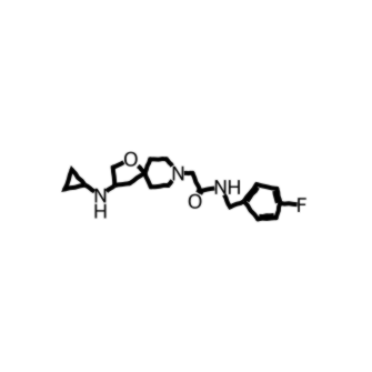 O=C(CN1CCC2(CC1)CC(NC1CC1)CO2)NCc1ccc(F)cc1